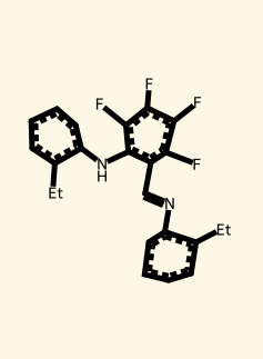 CCc1ccccc1N=Cc1c(F)c(F)c(F)c(F)c1Nc1ccccc1CC